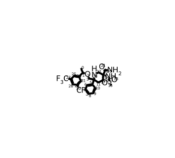 CC(OCC1(c2ccccc2)CC[C@@](NS(C)(=O)=O)(C(N)=O)CN1)c1cc(C(F)(F)F)cc(C(F)(F)F)c1